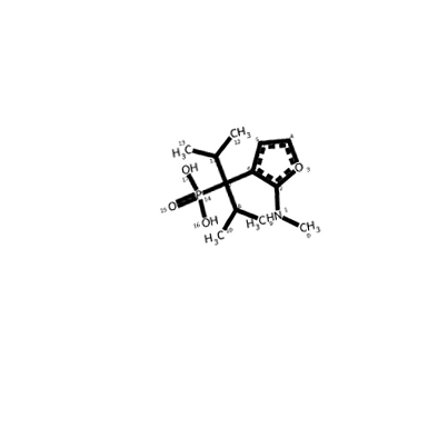 CNc1occc1C(C(C)C)(C(C)C)P(=O)(O)O